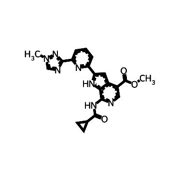 COC(=O)c1cnc(NC(=O)C2CC2)c2[nH]c(-c3cccc(-c4ncn(C)n4)n3)cc12